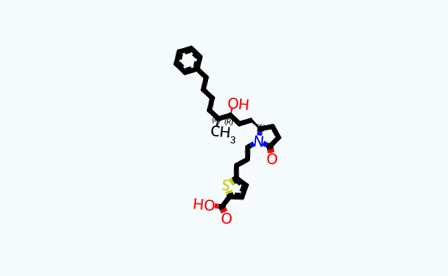 C[C@H](CCCCc1ccccc1)[C@H](O)CC[C@H]1CCC(=O)N1CCCc1ccc(C(=O)O)s1